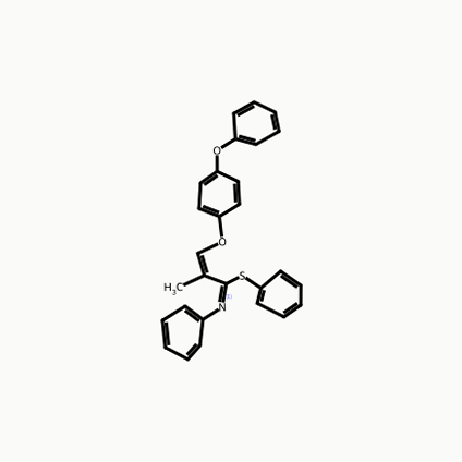 CC(=COc1ccc(Oc2ccccc2)cc1)/C(=N\c1ccccc1)Sc1ccccc1